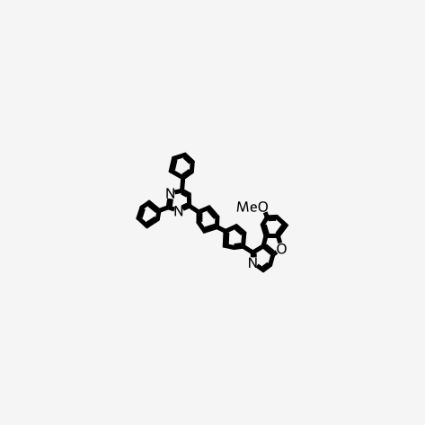 COc1ccc2oc3ccnc(-c4ccc(-c5ccc(-c6cc(-c7ccccc7)nc(-c7ccccc7)n6)cc5)cc4)c3c2c1